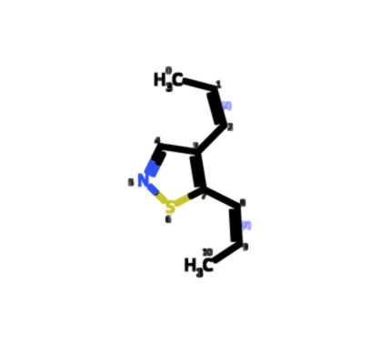 C/C=C\c1cnsc1/C=C\C